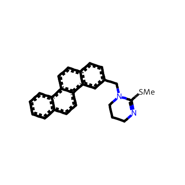 CSC1=NCCCN1Cc1ccc2ccc3c4ccccc4ccc3c2c1